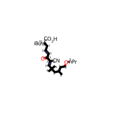 CCCOCCC(C)CC(C)(C)/C=C(\C#N)C(=O)/C=C/C[C@@H](C(=O)O)[C@H](C)CC